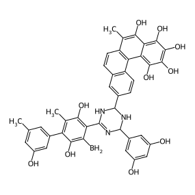 Bc1c(O)c(-c2cc(C)cc(O)c2)c(C)c(O)c1C1=NC(c2cc(O)cc(O)c2)NC(c2ccc3c(ccc4c(C)c(O)c5c(O)c(O)c(O)c(O)c5c43)c2)N1